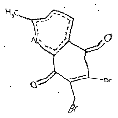 Cc1ccc2c(n1)C(=O)C(Br)=C(Br)C2=O